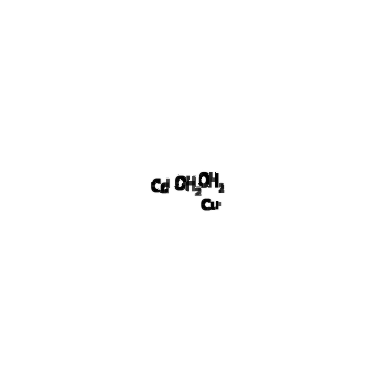 O.O.[Cd].[Cu]